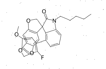 CCCCCN1C(=O)C2(COc3cc4c(cc32)OCO4)c2c(-c3cc(OC)ccc3F)cccc21